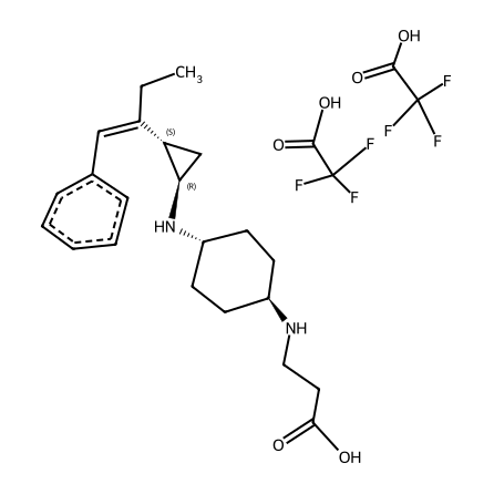 CCC(=Cc1ccccc1)[C@@H]1C[C@H]1N[C@H]1CC[C@H](NCCC(=O)O)CC1.O=C(O)C(F)(F)F.O=C(O)C(F)(F)F